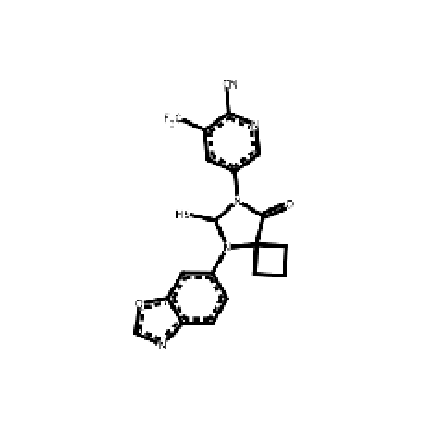 N#Cc1ncc(N2C(=O)C3(CCC3)N(c3ccc4ncoc4c3)C2S)cc1C(F)(F)F